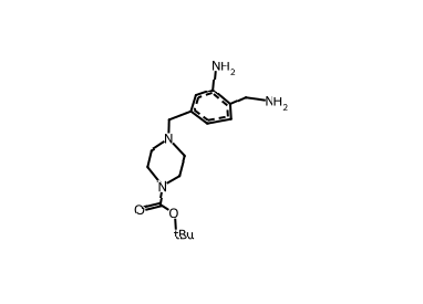 CC(C)(C)OC(=O)N1CCN(Cc2ccc(CN)c(N)c2)CC1